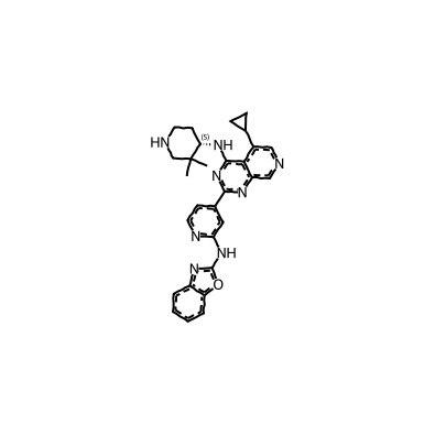 CC1(C)CNCC[C@@H]1Nc1nc(-c2ccnc(Nc3nc4ccccc4o3)c2)nc2cncc(C3CC3)c12